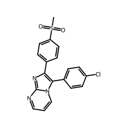 CS(=O)(=O)c1ccc(-c2nc3ncccn3c2-c2ccc(Cl)cc2)cc1